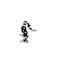 CCO[C@@H]([C@H]1C[C@@H](C)[C@H]2[C@H](O1)[C@H](O)[C@@]1(C)[C@@H]3CC[C@H]4C(C)(C)[C@@H](O[C@H]5CN(CC6CN(CCOC)C6)CCO5)CCC45C[C@@]35CC[C@]21C)C(C)(C)O